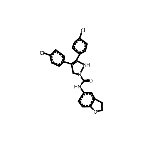 O=C(Nc1ccc2c(c1)CCO2)N1CC(c2ccc(Cl)cc2)=C(c2ccc(Cl)cc2)N1